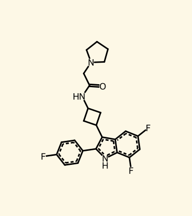 O=C(CN1CCCC1)NC1CC(c2c(-c3ccc(F)cc3)[nH]c3c(F)cc(F)cc23)C1